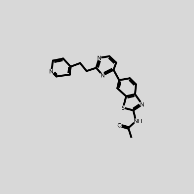 CC(=O)Nc1nc2ccc(-c3ccnc(CCc4ccncc4)n3)cc2s1